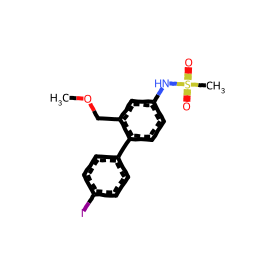 COCc1cc(NS(C)(=O)=O)ccc1-c1ccc(I)cc1